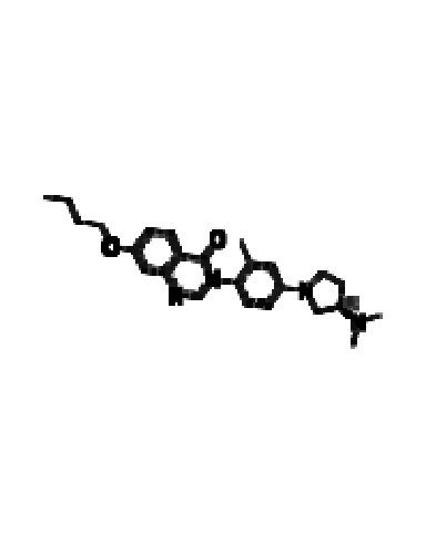 CCCCOc1ccc2c(=O)n(-c3ccc(N4CC[C@@H](N(C)C)C4)cc3C)cnc2c1